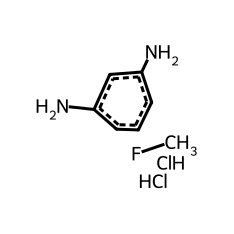 CF.Cl.Cl.Nc1cccc(N)c1